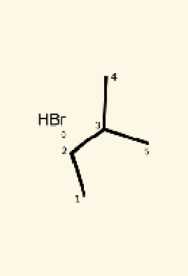 Br.CCC(C)C